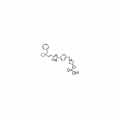 O=C(O)OC1CN(Cc2ccc(-c3noc(/C=C/C4(Cc5ccccc5)CCC4)n3)cc2)C1